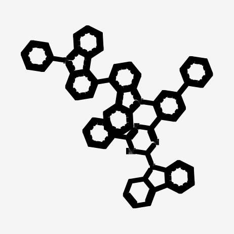 C1=CCC2C(=C1)c1ccccc1N2C1N=C(c2ccc(-c3ccccc3)cc2-n2c3ccccc3c3c(-c4cccc5c4c4ccccc4n5-c4ccccc4)cccc32)N=C(c2ccccc2)N1